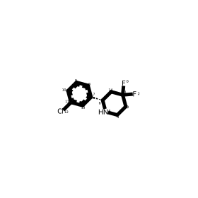 FC1(F)CCN[C@H](c2cccc(Cl)c2)C1